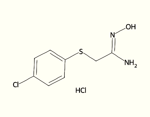 Cl.NC(CSc1ccc(Cl)cc1)=NO